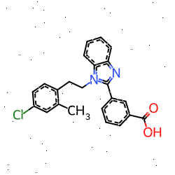 Cc1cc(Cl)ccc1CCn1c(-c2cccc(C(=O)O)c2)nc2ccccc21